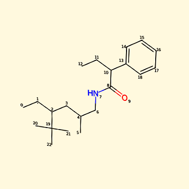 C[CH]C(CC(C)CNC(=O)C(CC)c1ccccc1)C(C)(C)C